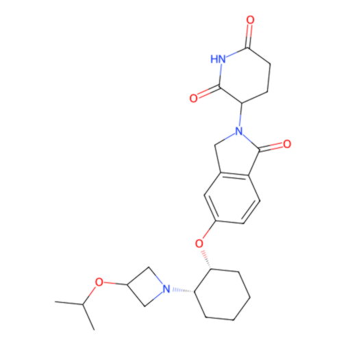 CC(C)OC1CN([C@H]2CCCC[C@H]2Oc2ccc3c(c2)CN(C2CCC(=O)NC2=O)C3=O)C1